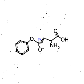 NC(/C=[P+](\[O-])Oc1ccccc1)C(=O)O